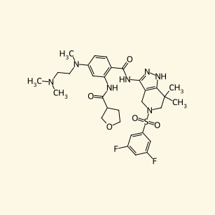 CN(C)CCN(C)c1ccc(C(=O)Nc2n[nH]c3c2CN(S(=O)(=O)c2cc(F)cc(F)c2)CC3(C)C)c(NC(=O)C2CCOC2)c1